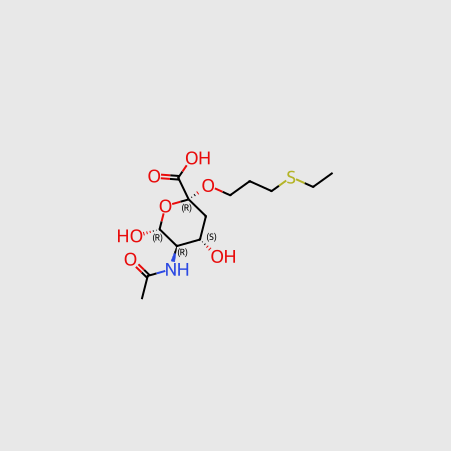 CCSCCCO[C@]1(C(=O)O)C[C@H](O)[C@@H](NC(C)=O)[C@H](O)O1